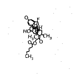 CCCCCC(=O)OCC(=O)[C@H]1C(C)C[C@H]2[C@@H]3CC(F)C4=CC(=O)C=C[C@]4(C)[C@@]3(Br)C(O)C[C@]12C